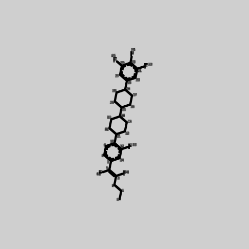 CCC/C(F)=C(\F)c1ccc(C2CCC(C3CCC(c4cc(F)c(F)c(F)c4)CC3)CC2)c(F)c1